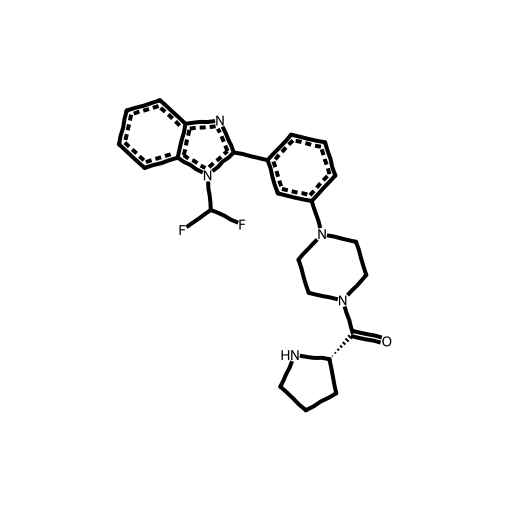 O=C([C@@H]1CCCN1)N1CCN(c2cccc(-c3nc4ccccc4n3C(F)F)c2)CC1